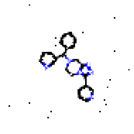 c1ccc(C(c2cccnc2)N2CCn3c(nnc3-c3cccnc3)C2)cc1